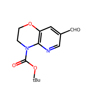 CC(C)(C)OC(=O)N1CCOc2cc(C=O)cnc21